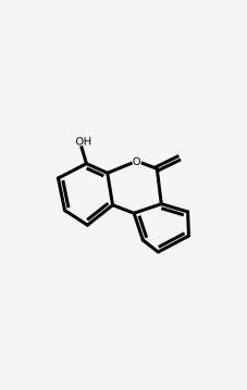 C=C1Oc2c(O)cccc2-c2ccccc21